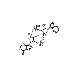 O=c1[nH]cnc2c1ncn2[C@@H]1O[C@@H]2COP(=O)(O)OC3C(O)[C@H](n4cnc5ccccc54)O[C@@H]3COP(=O)(O)OC1C2O